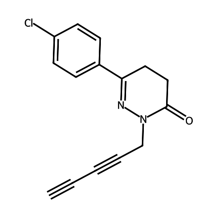 C#CC#CCN1N=C(c2ccc(Cl)cc2)CCC1=O